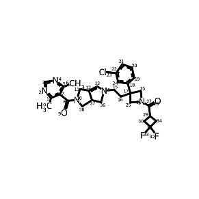 Cc1ncnc(C)c1C(=O)N1CC2=CN(CCC3(c4cccc(Cl)c4)CN(C(=O)C4CC(F)(F)C4)C3)CC2C1